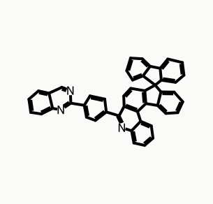 c1ccc2c(c1)-c1ccccc1C21c2ccccc2-c2c1ccc1c(-c3ccc(-c4ncc5ccccc5n4)cc3)nc3ccccc3c21